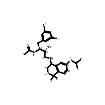 CC(=O)N[C@@H](Cc1cc(F)cc(F)c1)[C@H](N)CNC1COC(C)(C)c2ccc(OC(C)C)cc21